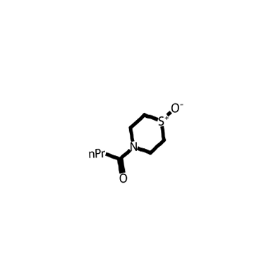 CCCC(=O)N1CC[S+]([O-])CC1